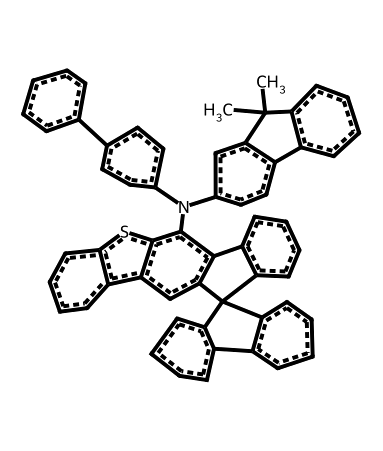 CC1(C)c2ccccc2-c2ccc(N(c3ccc(-c4ccccc4)cc3)c3c4c(cc5c3sc3ccccc35)C3(c5ccccc5-c5ccccc53)c3ccccc3-4)cc21